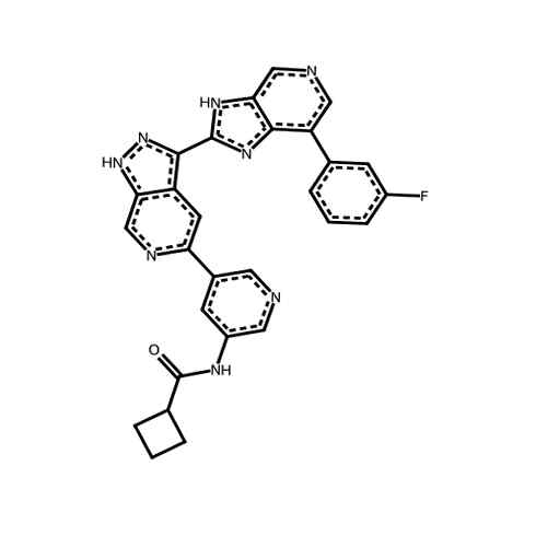 O=C(Nc1cncc(-c2cc3c(-c4nc5c(-c6cccc(F)c6)cncc5[nH]4)n[nH]c3cn2)c1)C1CCC1